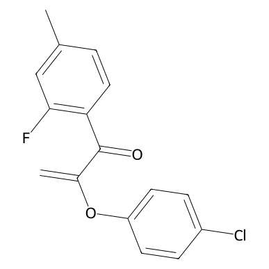 C=C(Oc1ccc(Cl)cc1)C(=O)c1ccc(C)cc1F